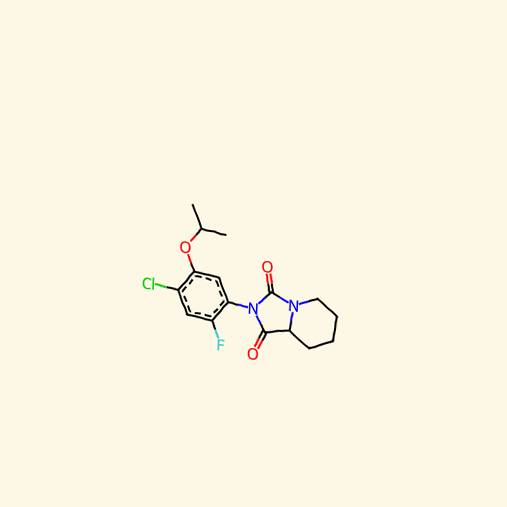 CC(C)Oc1cc(N2C(=O)C3CCCCN3C2=O)c(F)cc1Cl